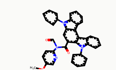 COc1ccc(N(C=O)C(=O)c2cc3c(c4ccccc4n3-c3ccccc3)c3c4ccccc4n(-c4ccccc4)c23)nc1